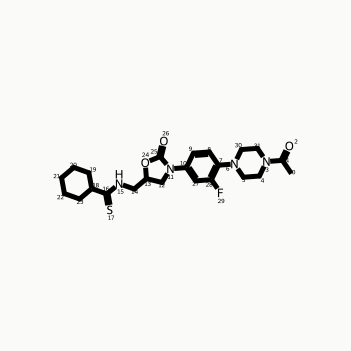 CC(=O)N1CCN(c2ccc(N3CC(CNC(=S)C4CCCCC4)OC3=O)cc2F)CC1